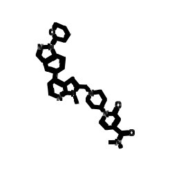 CN(C)C(=O)c1ccn(C2CCN(Cc3cc4c(-c5ccc6c(cnn6C6CCCCO6)c5)ccnc4n3C)CC2)c(=O)c1